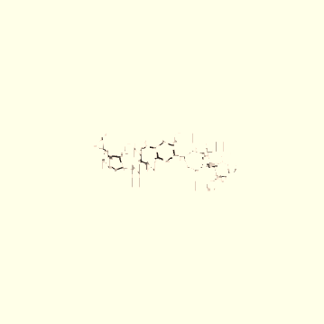 Cc1cc2cnc(Nc3cnn(C4CC4)c3Cl)nc2cc1C1CCN([C@@H]2COC[C@@H]2O)[C@@H](C)C1